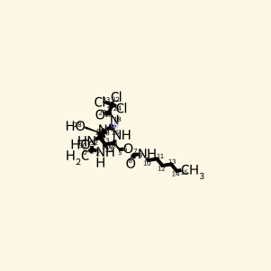 C=C1N[C@H]2[C@H](COC(=O)NCCCCCC)N/C(=N/C(=O)C(Cl)(Cl)Cl)N3C[C@H](O)[C@H](O)C23N1